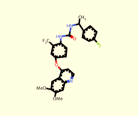 COc1cc2nccc(Oc3ccc(NC(=O)NC(C)c4ccc(F)cc4)c(C(F)(F)F)c3)c2cc1OC